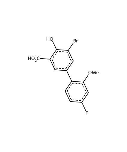 COc1cc(F)ccc1-c1cc(Br)c(O)c(C(=O)O)c1